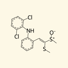 CS/C(=C\c1ccccc1Nc1c(Cl)cccc1Cl)[S+](C)[O-]